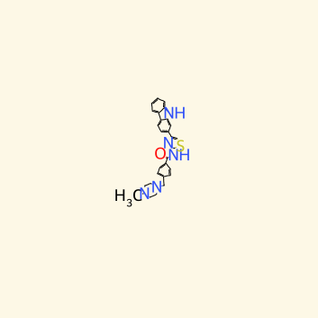 CN1CCN(Cc2ccc(C(=O)Nc3nc(-c4ccc5c(c4)[nH]c4ccccc45)cs3)cc2)CC1